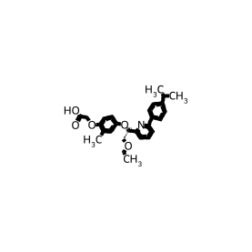 CCOC[C@H](Oc1ccc(OCC(=O)O)c(C)c1)c1cccc(-c2ccc(C(C)C)cc2)n1